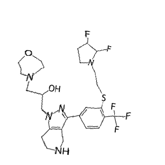 OC(CN1CCOCC1)Cn1nc(-c2ccc(C(F)(F)F)c(SCCN3CCC(F)C3F)c2)c2c1CCNC2